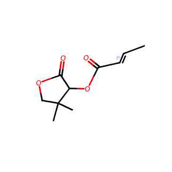 C/C=C/C(=O)OC1C(=O)OCC1(C)C